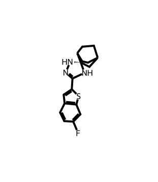 Fc1ccc2cc(C3=NN[C@]4(CC5CCC4CC5)N3)sc2c1